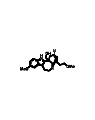 COCCC1C[C@H]2CN3CCc4c([nH]c5ccc(OC)cc45)C(CO)(C2)C13